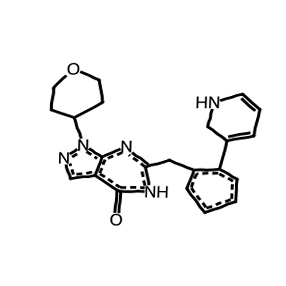 O=c1[nH]c(Cc2ccccc2C2=CC=CNC2)nc2c1cnn2C1CCOCC1